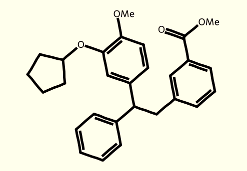 COC(=O)c1cccc(CC(c2ccccc2)c2ccc(OC)c(OC3CCCC3)c2)c1